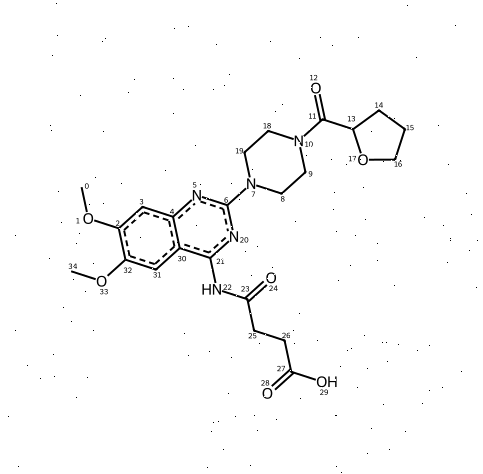 COc1cc2nc(N3CCN(C(=O)C4CCCO4)CC3)nc(NC(=O)CCC(=O)O)c2cc1OC